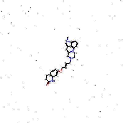 Cn1cc2c3c(cccc31)N1CCN(C/C=C/COc3ccc4c(c3)NC(=O)CC4)CC1C2